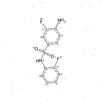 Nc1ccc(S(=O)(=O)Nc2ccccc2F)cc1F